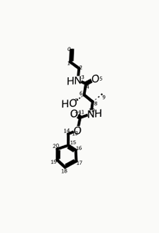 C=CCNC(=O)[C@@H](O)[C@H](C)NC(=O)OCc1ccccc1